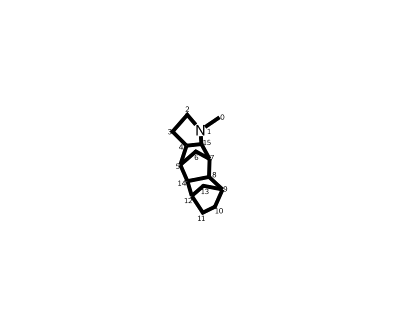 CN1CCC2C3CC(C4C5CCC(C5)C34)C21